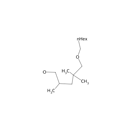 CCCCCCCOCC(C)(C)CC(C)C[O]